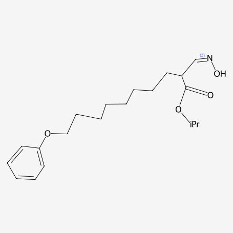 CC(C)OC(=O)C(/C=N\O)CCCCCCCCOc1ccccc1